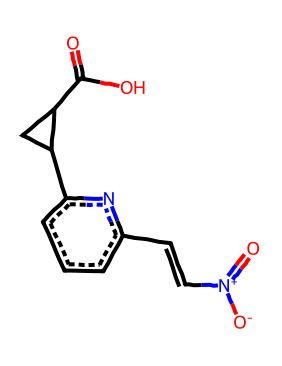 O=C(O)C1CC1c1cccc(C=C[N+](=O)[O-])n1